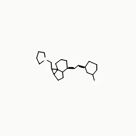 C[C@@]1(CN2CCCC2)C2CCC3/C(=C/C=C4/CCCC(O)C4)CCCC321